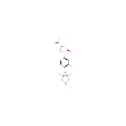 NC(=O)[C@H]1CN(c2ccc([C@H]3[C@@H]4CC(O)C[C@@H]43)c(F)c2)C(=O)O1